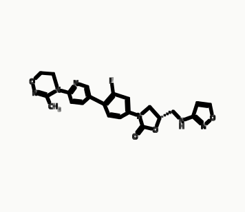 CC1=NOCCN1c1ccc(-c2ccc(N3C[C@H](CNc4ccon4)OC3=O)cc2F)cn1